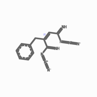 [N-]=[N+]=NC(=N)/C=C(/Cc1ccccc1)C(=N)N=[N+]=[N-]